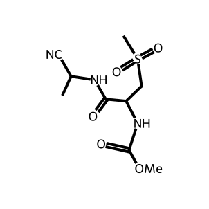 COC(=O)NC(CS(C)(=O)=O)C(=O)NC(C)C#N